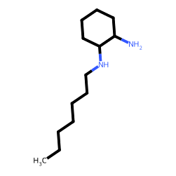 CCCCCCCNC1CCCCC1N